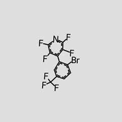 Fc1nc(F)c(F)c(-c2cc(C(F)(F)F)ccc2Br)c1F